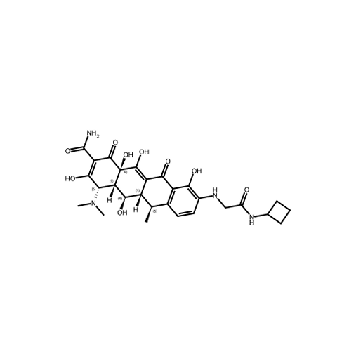 C[C@@H]1c2ccc(NCC(=O)NC3CCC3)c(O)c2C(=O)C2=C(O)[C@@]3(O)C(=O)C(C(N)=O)=C(O)[C@@H](N(C)C)[C@H]3[C@H](O)[C@H]21